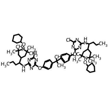 CCCC(Nc1nc(Cl)nc(Oc2ccc(C(C)(C)c3ccc(Oc4nc(Cl)nc(NC(CCC)C5CC(C)(C)N(OC6CCCCC6)C(C)(C)C5)n4)cc3)cc2)n1)C1CC(C)(C)N(OC2CCCCC2)C(C)(C)C1